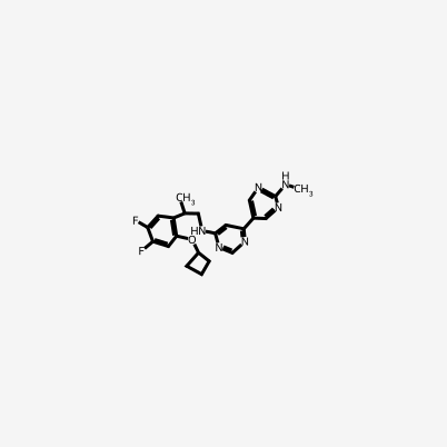 CNc1ncc(-c2cc(NCC(C)c3cc(F)c(F)cc3OC3CCC3)ncn2)cn1